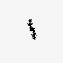 Cc1c2cc(-c3cn(C)n(-c4cccs4)c3=O)sc2c(C)c2cc(-c3cn(C)n(-c4cccs4)c3=O)sc12